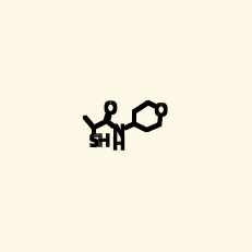 CC(S)C(=O)NC1CCOCC1